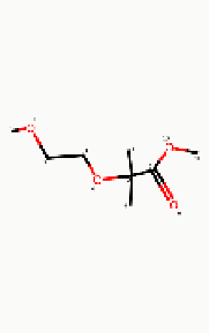 COCCOC(C)(C)C(=O)OC